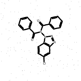 O=C(c1ccccc1)N(C(=O)c1ccccc1)n1nnc2cc(Cl)ccc21